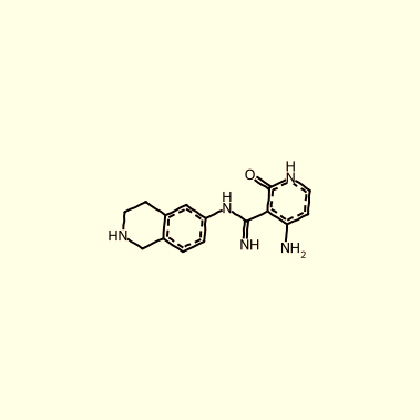 N=C(Nc1ccc2c(c1)CCNC2)c1c(N)cc[nH]c1=O